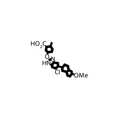 COc1ccc2cc(-c3cc4nc(Oc5ccc(C)c(C(=O)O)c5)[nH]c4cc3Cl)ccc2c1